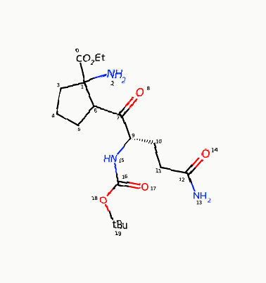 CCOC(=O)C1(N)CCCC1C(=O)[C@H](CCC(N)=O)NC(=O)OC(C)(C)C